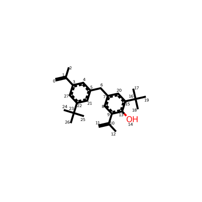 C=C(C)c1cc(Cc2cc(C(=C)C)c(O)c(C(C)(C)C)c2)cc(C(C)(C)C)c1